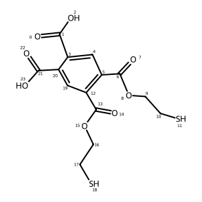 O=C(O)c1cc(C(=O)OCCS)c(C(=O)OCCS)cc1C(=O)O